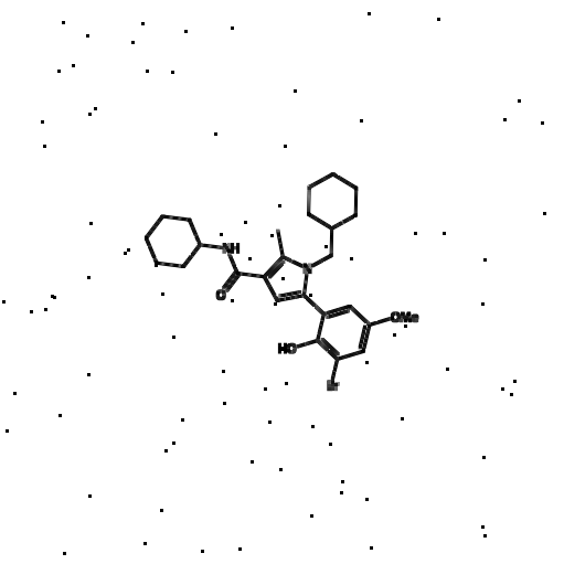 COc1cc(Br)c(O)c(-c2cc(C(=O)NC3CCCCC3)c(C)n2CC2CCCCC2)c1